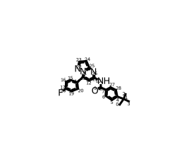 CC(C)(C)c1ccc(C(=O)Nc2cc(-c3ccc(F)cc3)n3nccc3n2)cc1